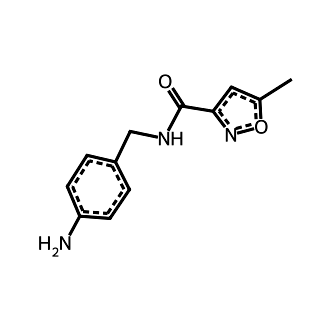 Cc1cc(C(=O)NCc2ccc(N)cc2)no1